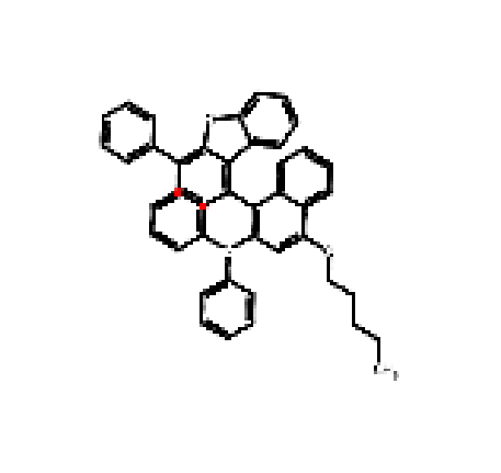 CCCCCOc1cc(N(c2ccccc2)c2ccccc2)c(-c2ccc(-c3ccccc3)c3oc4ccccc4c23)c2ccccc12